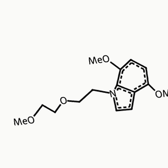 COCCOCCn1ccc2c(OC)ccc(OC)c21